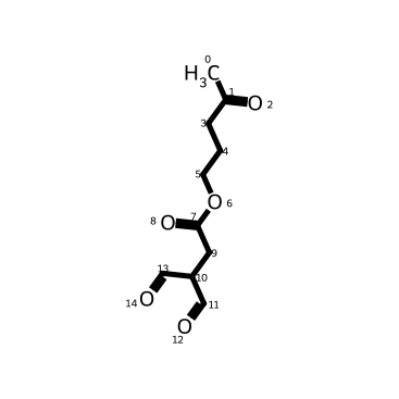 CC(=O)CCCOC(=O)CC(C=O)C=O